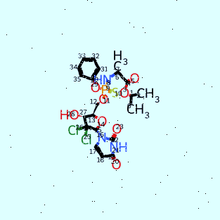 CC(C)OC(=O)[C@H](C)N[P@@](=S)(OC[C@H]1O[C@@H](n2ccc(=O)[nH]c2=O)C(Cl)(Cl)[C@@H]1O)Oc1ccccc1